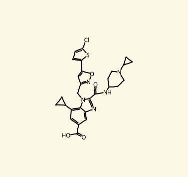 O=C(O)c1cc(C2CC2)c2c(c1)nc(C(=O)NC1CCN(C3CC3)CC1)n2Cc1cc(-c2ccc(Cl)s2)on1